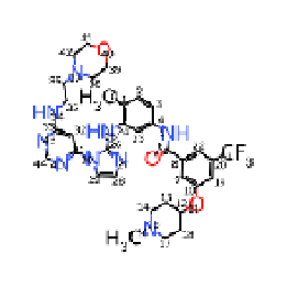 Cc1ccc(NC(=O)c2cc(OC3CCN(C)CC3)cc(C(F)(F)F)c2)cc1Nc1nccn1-c1cc(NCCN2CCOCC2)ncn1